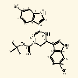 CC(C)(C)OC(=O)NCC(NC(=O)c1c[nH]c2cc(Br)ccc12)c1c[nH]c2cc(Br)ccc12